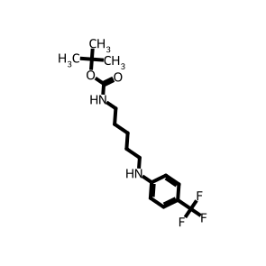 CC(C)(C)OC(=O)NCCCCCNc1ccc(C(F)(F)F)cc1